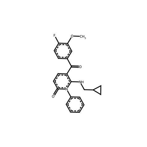 COc1cc(C(=O)c2ccc(=O)n(-c3ccccc3)c2NCC2CC2)ccc1F